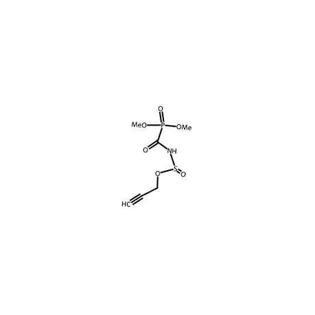 C#CCOS(=O)NC(=O)P(=O)(OC)OC